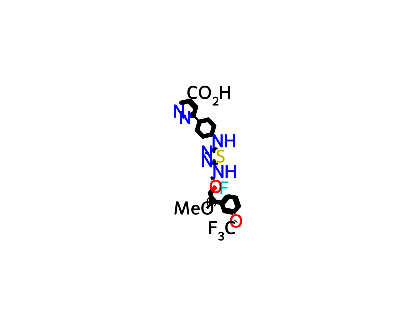 CO[C@@H](COCNc1nnc(N[C@H]2CC[C@H](c3cc(C(=O)O)cnn3)CC2)s1)c1cc(OC(F)(F)F)ccc1F